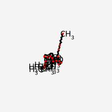 CCCCCCCCCCCCCCCCCCN1C(C(C(=O)Nc2ccccc2Oc2ccccc2OCC(CCC(C)CC(C)(C)C)C(C)CC(C)(C)C)n2cc(C(=O)O)cn2)=Nc2ccccc2S1(=O)=O